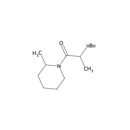 CC[CH]CC(C)C(=O)N1CCCCC1C